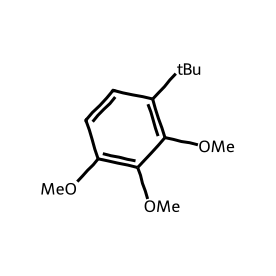 COc1ccc(C(C)(C)C)c(OC)c1OC